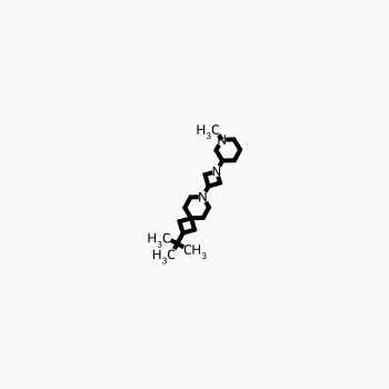 CN1CCCC(N2CC(N3CCC4(CC3)CC(C(C)(C)C)C4)C2)C1